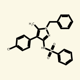 Cc1c(-c2ccc(Cl)cc2)c(NS(=O)(=O)c2ccccc2)nn1Cc1ccccc1